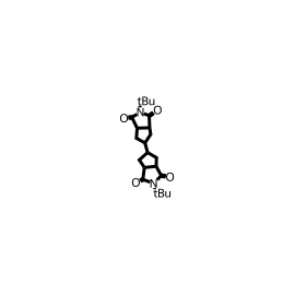 CC(C)(C)N1C(=O)C2CC(C3CC4C(=O)N(C(C)(C)C)C(=O)C4C3)CC2C1=O